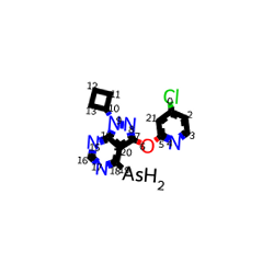 Clc1ccnc(Oc2nn(C3CCC3)c3ncnc([AsH2])c23)c1